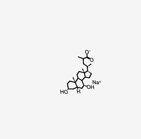 CC(C[C@@H](C)[C@H]1CCC2C3C(CC[C@@]21C)[C@@]1(C)CC[C@@H](O)C[C@H]1C[C@@H]3O)C(=O)[O-].[Na+]